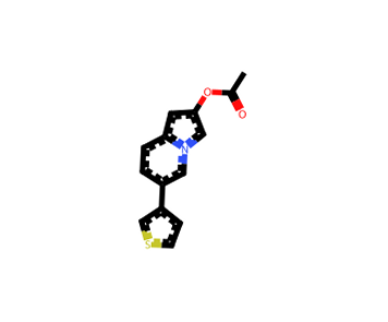 CC(=O)Oc1cc2ccc(-c3ccsc3)cn2c1